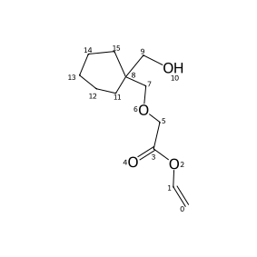 C=COC(=O)COCC1(CO)CCCCC1